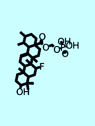 CC1CCC2(C(=O)OCOP(=O)(O)O)CCC3(C)C(=CCC4C5(C)CCC(O)C(C)(C)C5CC(F)C43C)C2C1C